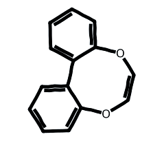 c1ccc2c(c1)occoc1ccccc12